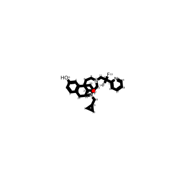 Oc1ccc2c(c1)C13CCN(CC(F)(F)c4ccccn4)CCC1(O)C(C2)N(CC1CC1)CC3